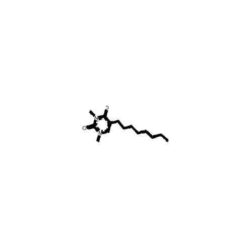 CCCCCCCCc1cn(C)c(=O)n(C)c1=O